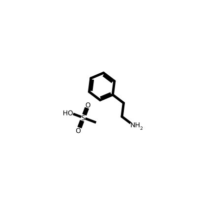 CS(=O)(=O)O.NCCc1ccccc1